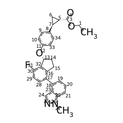 CCOC(=O)[C@H]1C[C@@H]1c1ccc(O[C@@H]2CCc3c(-c4cccc5c4cnn5C)ccc(F)c32)cc1